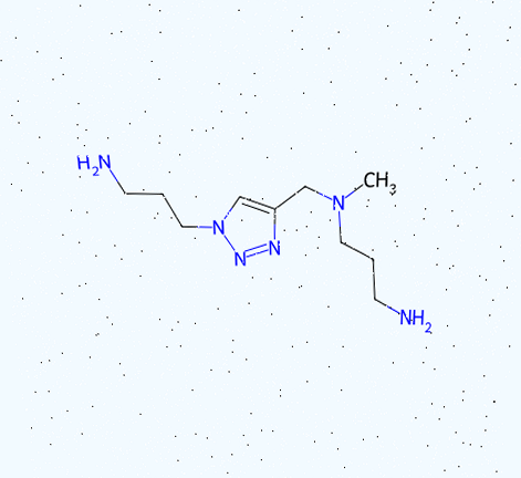 CN(CCCN)Cc1cn(CCCN)nn1